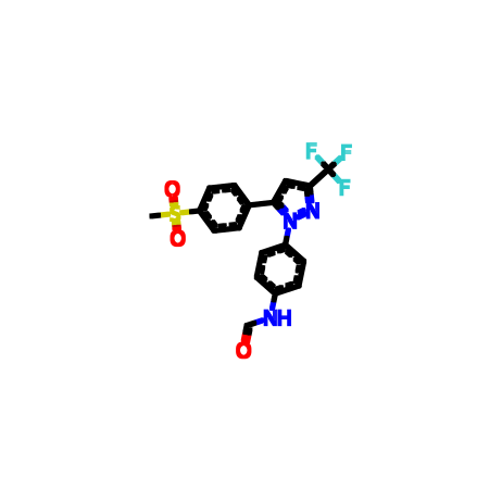 CS(=O)(=O)c1ccc(-c2cc(C(F)(F)F)nn2-c2ccc(NC=O)cc2)cc1